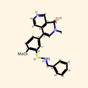 COc1ccc(-c2cn(C)c(=O)c3cnccc23)cc1SNCc1ccccc1